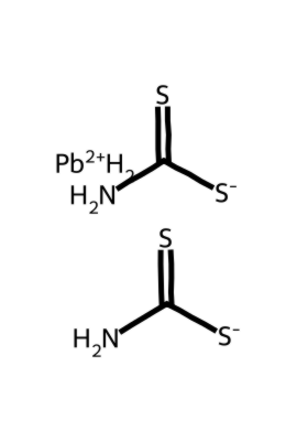 NC(=S)[S-].NC(=S)[S-].[PbH2+2]